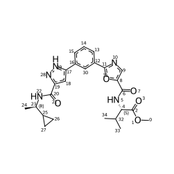 COC(=O)[C@@H](NC(=O)c1cnc(-c2cccc(-c3cc(C(=O)N[C@H](C)C4CC4)n[nH]3)c2)o1)C(C)C